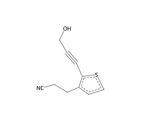 N#CCCc1ccsc1C#CCO